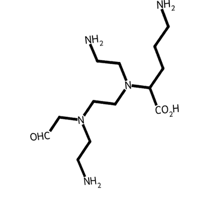 NCCCC(C(=O)O)N(CCN)CCN(CC=O)CCN